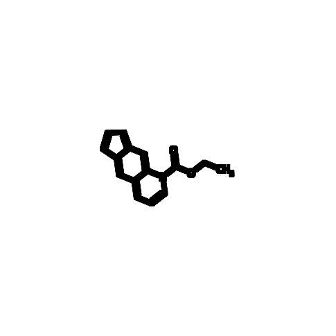 CCOC(=O)n1cccc2cc3cccc3cc21